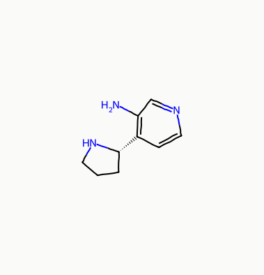 Nc1cnccc1[C@@H]1CCCN1